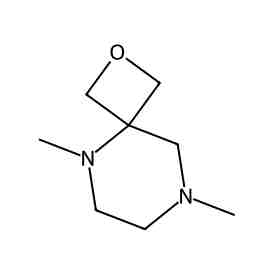 CN1CCN(C)C2(COC2)C1